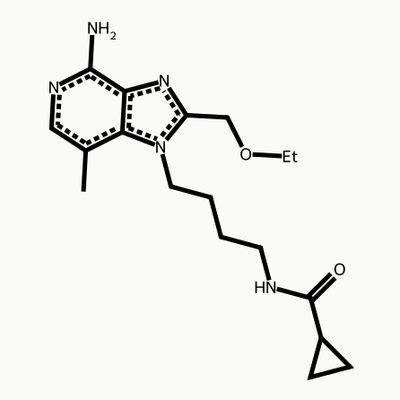 CCOCc1nc2c(N)ncc(C)c2n1CCCCNC(=O)C1CC1